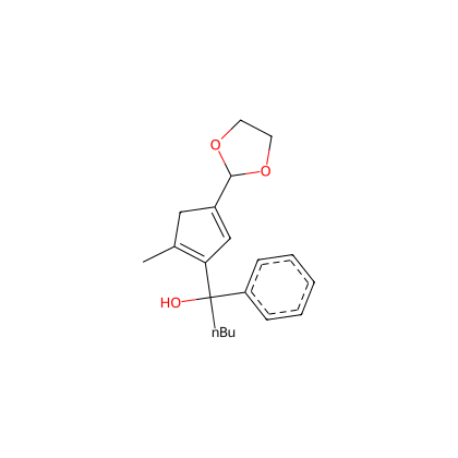 CCCCC(O)(C1=C(C)CC(C2OCCO2)=C1)c1ccccc1